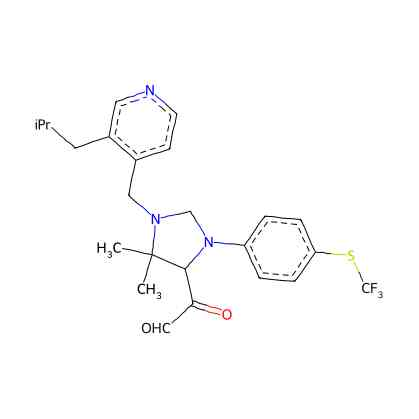 CC(C)Cc1cnccc1CN1CN(c2ccc(SC(F)(F)F)cc2)C(C(=O)C=O)C1(C)C